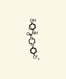 O=C(Nc1ccc(O)cn1)N1CCN(c2ccc(C(F)(F)F)cc2)CC1